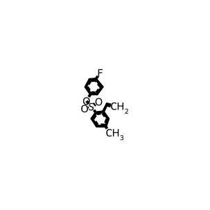 C=Cc1cc(C)ccc1S(=O)(=O)Oc1ccc(F)cc1